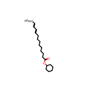 CCCCCC=CC=CCCCCCCCCC(=O)OC1CCCCC1